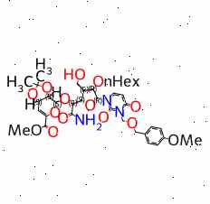 CCCCCCO[C@@H]1[C@H](CO)[C@@H]([C@@H](O[C@H]2OC(C(=O)OC)=C[C@@H]3OC(C)(C)O[C@H]23)C(N)=O)O[C@H]1n1ccc(=O)n(COCc2ccc(OC)cc2)c1=O